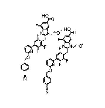 COCCn1c(Cc2c(F)cc(-c3cccc(OCc4ccc(C#N)cc4)n3)c(F)c2F)nc2c(F)cc(C(=O)O)cc21.COCCn1c(Cc2c(F)cc(-c3cccc(OCc4ccc(C#N)cc4)n3)c(F)c2F)nc2c(F)cc(C(=O)O)cc21